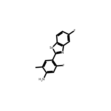 Cc1cc(-c2nc3cc(F)ccc3[se]2)c(F)cc1N